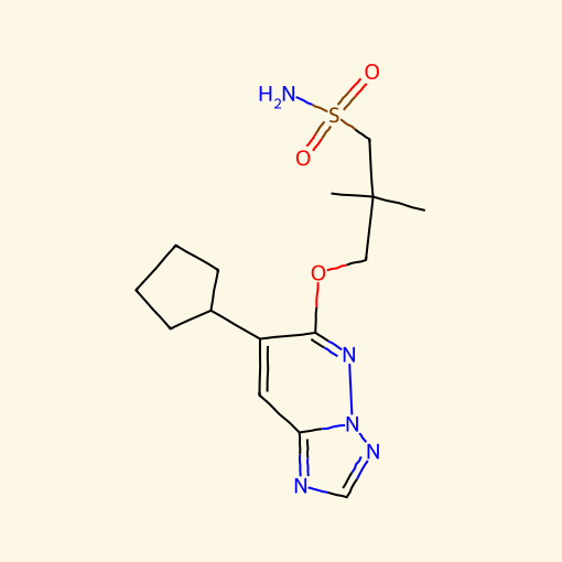 CC(C)(COc1nn2ncnc2cc1C1CCCC1)CS(N)(=O)=O